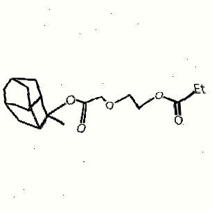 CCC(=O)OCCOCC(=O)OC1(C)C2CC3CC(C2)CC1C3